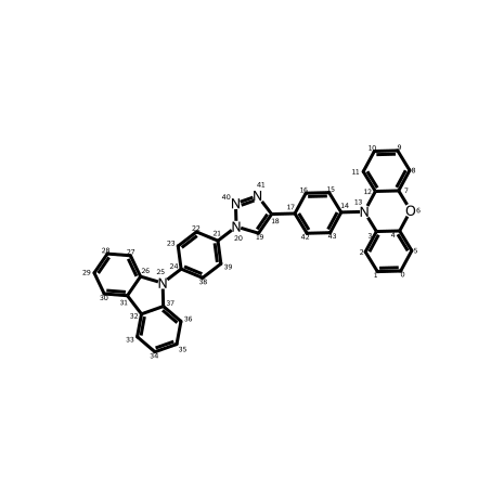 c1ccc2c(c1)Oc1ccccc1N2c1ccc(-c2cn(-c3ccc(-n4c5ccccc5c5ccccc54)cc3)nn2)cc1